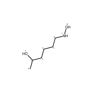 CC(O)CCCCNO